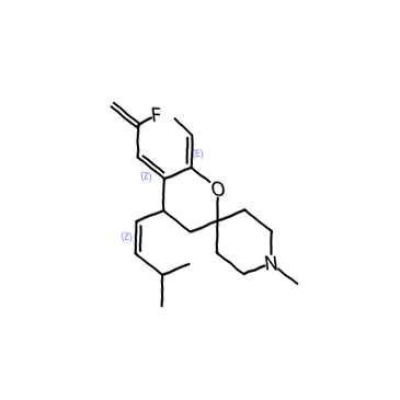 C=C(F)/C=C1\C(=C/C)OC2(CCN(C)CC2)CC1/C=C\C(C)C